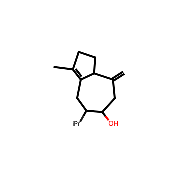 C=C1CC(O)C(C(C)C)CC2=C(C)CCC12